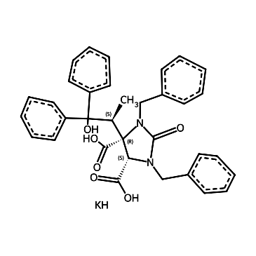 C[C@H](C(O)(c1ccccc1)c1ccccc1)[C@]1(C(=O)O)[C@@H](C(=O)O)N(Cc2ccccc2)C(=O)N1Cc1ccccc1.[KH]